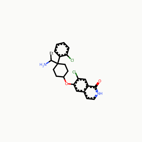 CCC(N)C1(c2ccccc2Cl)CCC(Oc2cc3cc[nH]c(=O)c3cc2Cl)CC1